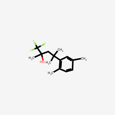 [CH2]C(O)(CC(C)(C)c1cc(C)ccc1C)C(F)(F)F